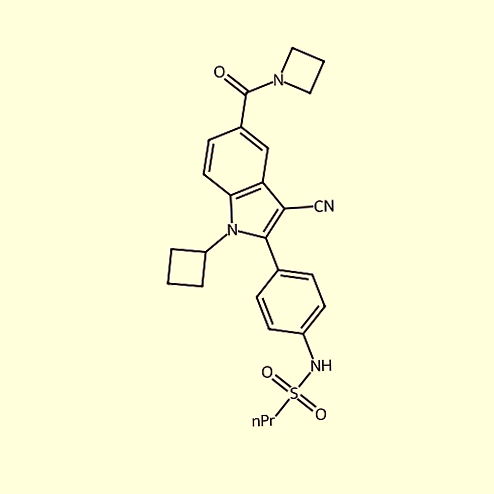 CCCS(=O)(=O)Nc1ccc(-c2c(C#N)c3cc(C(=O)N4CCC4)ccc3n2C2CCC2)cc1